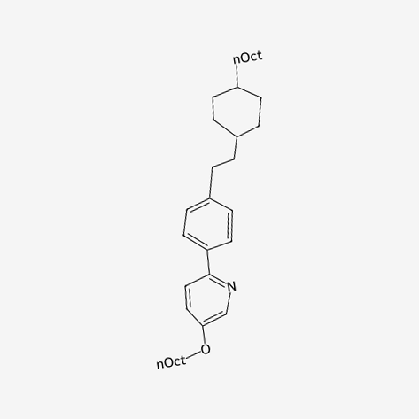 CCCCCCCCOc1ccc(-c2ccc(CCC3CCC(CCCCCCCC)CC3)cc2)nc1